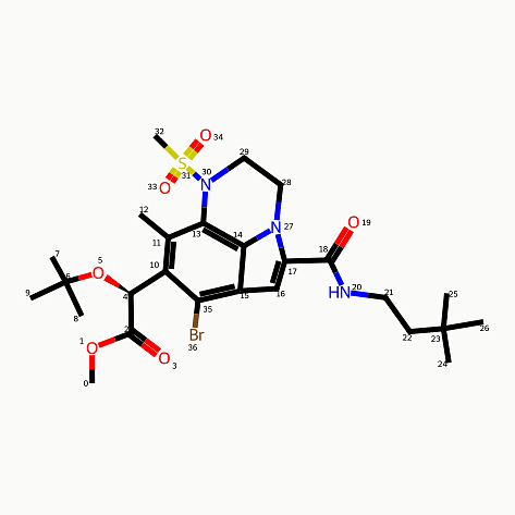 COC(=O)[C@@H](OC(C)(C)C)c1c(C)c2c3c(cc(C(=O)NCCC(C)(C)C)n3CCN2S(C)(=O)=O)c1Br